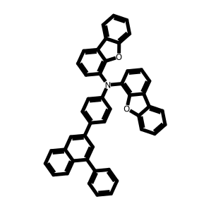 c1ccc(-c2cc(-c3ccc(N(c4cccc5c4oc4ccccc45)c4cccc5c4oc4ccccc45)cc3)cc3ccccc23)cc1